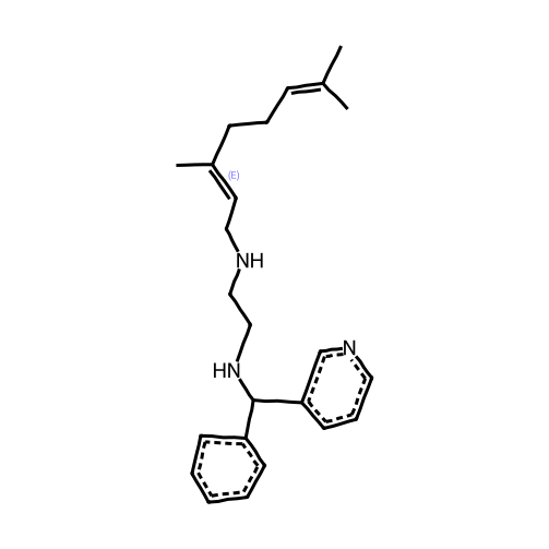 CC(C)=CCC/C(C)=C/CNCCNC(c1ccccc1)c1cccnc1